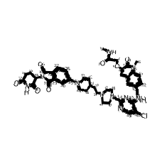 CNC(=O)COc1cc2cc(Nc3nc(N4CCN(CCC5CCN(c6ccc7c(c6)C(=O)N(C6CCC(=O)NC6=O)C7=O)CC5)CC4)ncc3Cl)ccc2n(C)c1=O